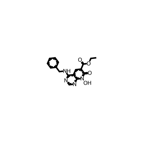 CCOC(=O)c1cc2c(NCc3ccccc3)ncnc2n(O)c1=O